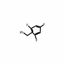 CC(C)[CH]c1c(F)cc(F)cc1F